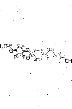 CCCC[C@H]1CC[C@H](C2CCC(C(=O)Oc3ccc(OCC)c(F)c3F)CC2)CC1